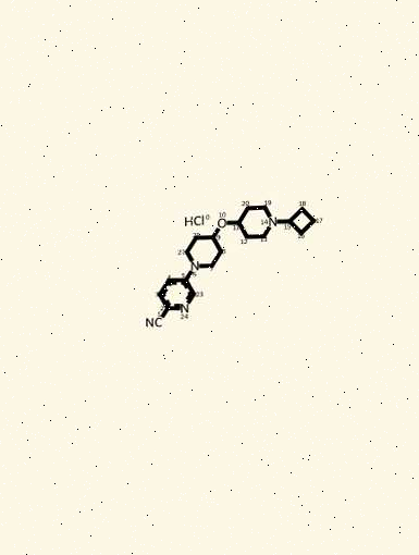 Cl.N#Cc1ccc(N2CCC(OC3CCN(C4CCC4)CC3)CC2)cn1